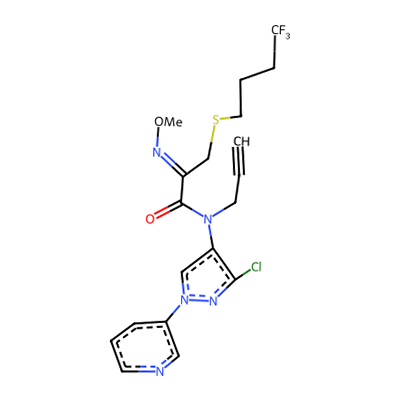 C#CCN(C(=O)/C(CSCCCC(F)(F)F)=N/OC)c1cn(-c2cccnc2)nc1Cl